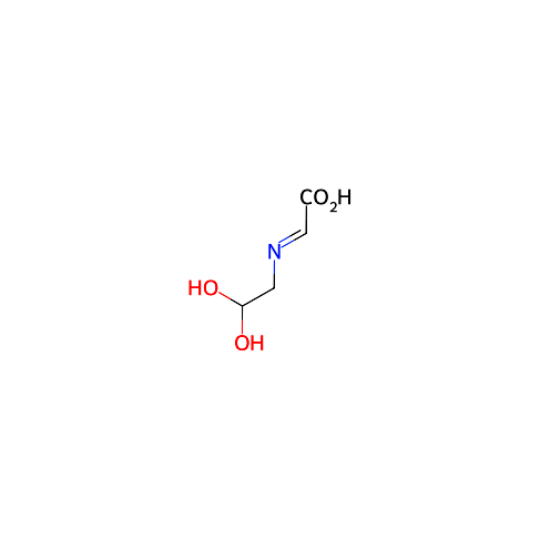 O=C(O)C=NCC(O)O